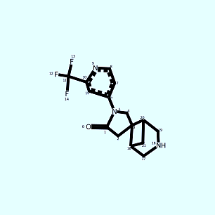 O=C1CC2(CN1c1ccnc(C(F)(F)F)c1)C1CNCC2C1